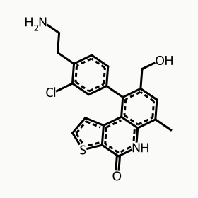 Cc1cc(CO)c(-c2ccc(CCN)c(Cl)c2)c2c1[nH]c(=O)c1sccc12